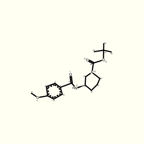 COc1ccc(C(=O)N[C@@H]2CCCN(C(=O)OC(C)(C)C)C2)cc1